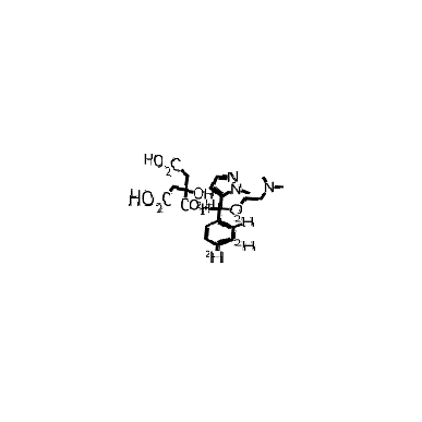 O=C(O)CC(O)(CC(=O)O)C(=O)O.[2H]c1ccc(C([2H])(OCCN(C)C)c2ccnn2C)c([2H])c1[2H]